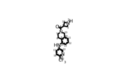 [2H]N1CC(C(=O)N2CCc3c(cccc3Nc3ccc(C(F)(F)F)nc3)C2)C1